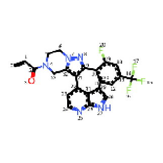 C=CC(=O)N1CCn2nc(-c3ccc(C(F)(F)F)cc3F)c(-c3ccnc4[nH]cc(C)c34)c2C1